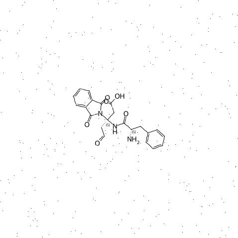 N[C@@H](Cc1ccccc1)C(=O)N[C@](CC=O)(CC(=O)O)N1C(=O)c2ccccc2C1=O